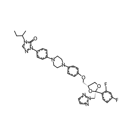 CCC(C)n1cnn(-c2ccc(N3CCN(c4ccc(OC[C@@H]5CO[C@@](Cn6nccn6)(c6ccc(F)cc6F)O5)cc4)CC3)cc2)c1=O